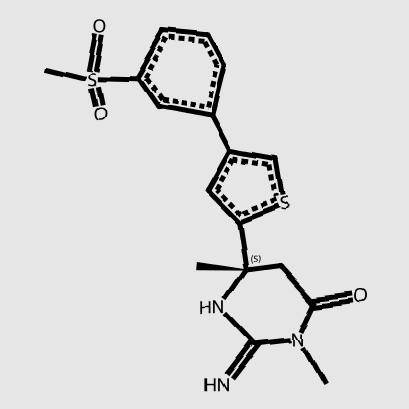 CN1C(=N)N[C@](C)(c2cc(-c3cccc(S(C)(=O)=O)c3)cs2)CC1=O